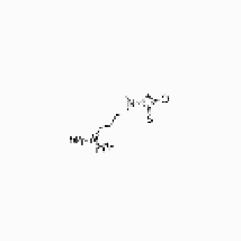 CCCN(CCC)CCCCN(C)c1cc(=O)c1=S